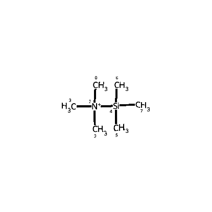 C[N+](C)(C)[Si](C)(C)C